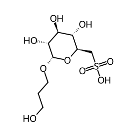 O=S(=O)(O)C[C@H]1O[C@H](OCCCO)[C@H](O)[C@@H](O)[C@@H]1O